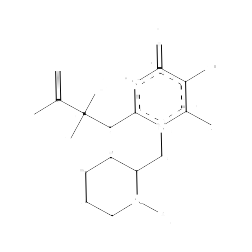 C=C(C)C(C)(CCCC)Cc1nc(=O)c(O)c(C)n1CC1CCCCN1C(C)=O